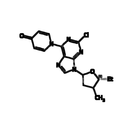 CC[C@H]1OC(n2cnc3c(-n4ccc(=O)cc4)nc(Cl)nc32)CC1C